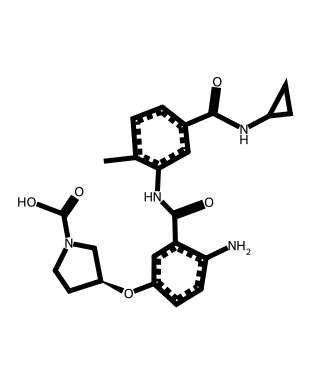 Cc1ccc(C(=O)NC2CC2)cc1NC(=O)c1cc(O[C@H]2CCN(C(=O)O)C2)ccc1N